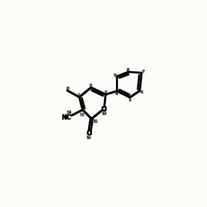 Cc1cc(-c2ccccc2)oc(=O)c1C#N